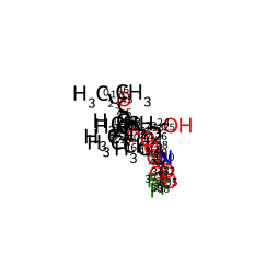 CCC[C@H](/C=C/C(C)=C/[C@@H](O[Si](C(C)C)(C(C)C)C(C)C)[C@H]1C[C@@H](CO)C[C@](Cc2nc(OS(=O)(=O)C(F)(F)F)co2)(OC)O1)OC